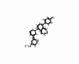 Cc1ccc(-c2ccc(-c3cccc(-c4cc(C(C)(C)C)ccn4)c3)c3ccncc23)cn1